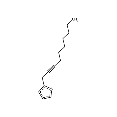 CCCCCCCC#CCc1cccs1